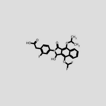 CC(C)Oc1c2c(c(OC(F)F)c3ccccc13)C(O)N(c1ccc(CC(=O)O)c(F)c1)C2=O